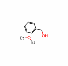 CCOCC.OCc1ccccc1